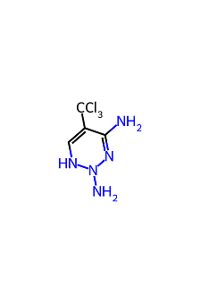 NC1=NN(N)NC=C1C(Cl)(Cl)Cl